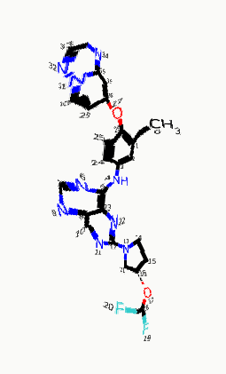 Cc1cc(Nc2ncnc3cnc(N4CC[C@H](OC(F)F)C4)nc23)ccc1Oc1ccn2ncnc2c1